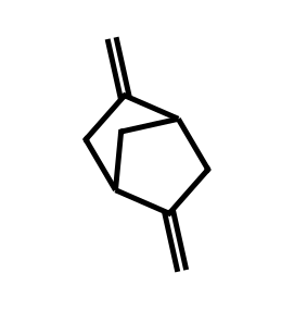 C=C1CC2CC1CC2=C